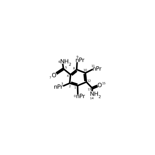 CCCc1c(CCC)c(C(N)=O)c(CCC)c(CCC)c1C(N)=O